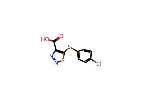 O=C(O)c1nnsc1Sc1ccc(Cl)cc1